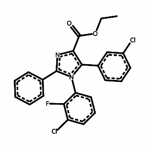 CCOC(=O)c1nc(-c2ccccc2)n(-c2cccc(Cl)c2F)c1-c1cccc(Cl)c1